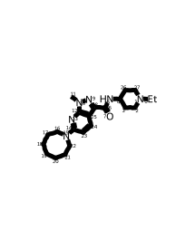 CCN1CCC(NC(=O)c2nn(C)c3nc(N4CCCCCCC4)ccc23)CC1